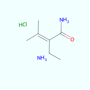 CCC(C(N)=O)=C(C)C.Cl.N